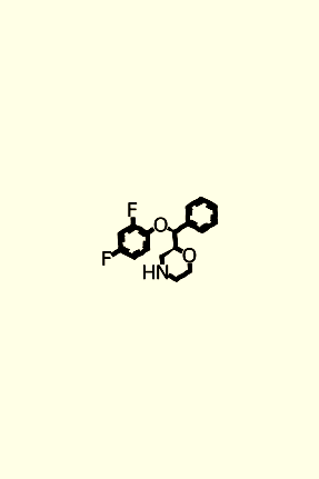 Fc1ccc(O[C@@H](c2ccccc2)[C@@H]2CNCCO2)c(F)c1